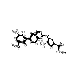 COC(=O)C1CC(Nc2ncc3cc(-c4c(Cl)c(OC)cc(OC)c4Cl)ccc3n2)[C@@H](N)C1